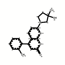 Cc1ccccc1-c1cc(=O)oc2nc(N3CCC(C)(O)C3)ccc12